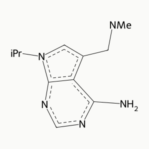 CNCc1cn(C(C)C)c2ncnc(N)c12